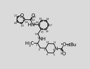 CC(CC1CCN(C(=O)OC(C)(C)C)CC1)NCc1ccccc1NC(=O)c1ccco1